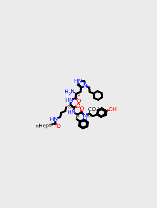 CCCCCCCC(=O)NCCCC[C@H](NC(=O)[C@@H](N)CC1=CNCN1CCC1CCCCC1)C(=O)N[C@@H](Cc1ccccc1)C(=O)N[C@@H](Cc1ccc(O)cc1)C(=O)O